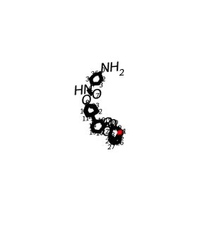 NC1CCC(NC(=O)Oc2ccc(C3CCCC4(C3)OOC3(O4)C4CC5CC(C4)CC3C5)cc2)CC1